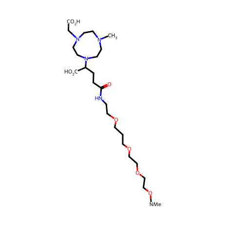 CNOCCOCCOCCCOCCNC(=O)CCC(C(=O)O)N1CCN(C)CCN(CC(=O)O)CC1